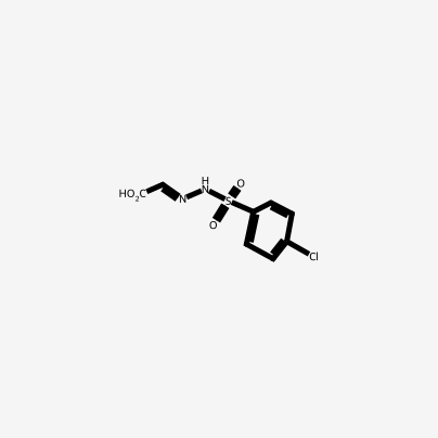 O=C(O)C=NNS(=O)(=O)c1ccc(Cl)cc1